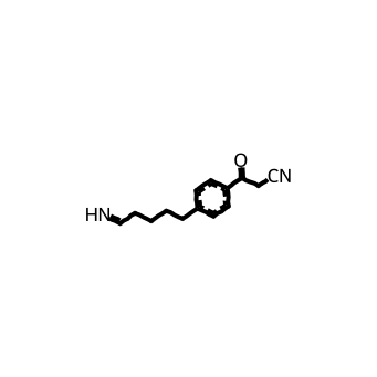 N#CCC(=O)c1ccc(CCCCC=N)cc1